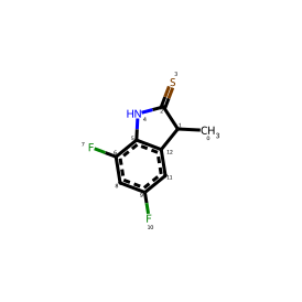 CC1C(=S)Nc2c(F)cc(F)cc21